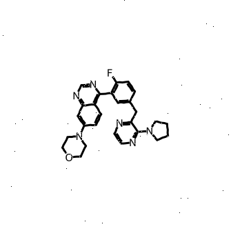 Fc1ccc(Cc2nccnc2N2CCCC2)cc1-c1ncnc2cc(N3CCOCC3)ccc12